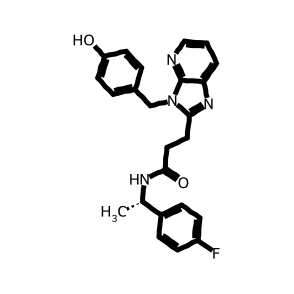 C[C@H](NC(=O)CCc1nc2cccnc2n1Cc1ccc(O)cc1)c1ccc(F)cc1